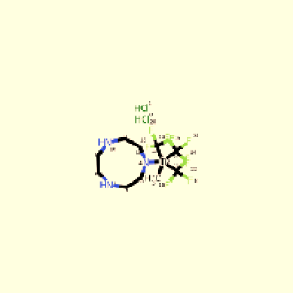 Cl.Cl.[CH3][Ti]([N]1CCNCCNCC1)([C](F)(F)F)([C](F)(F)F)[C](F)(F)F